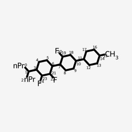 CCCC(CCC)C1CCC(C2CCC(C3CCC(C)CC3)CC2F)C(F)C1F